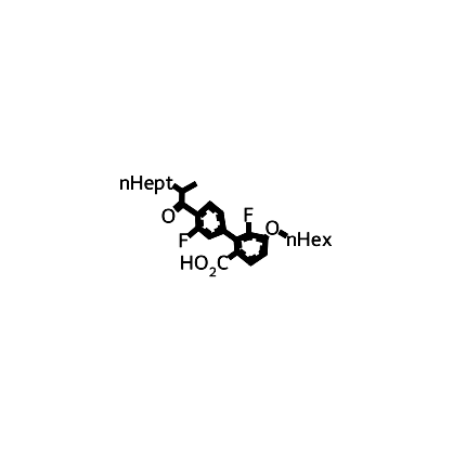 CCCCCCCC(C)C(=O)c1ccc(-c2c(C(=O)O)ccc(OCCCCCC)c2F)cc1F